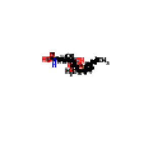 CCCCc1ccc2cc(C=C(C)C(=O)c3c(O)cc(C(C)CCC=CNC(=O)O)oc3=O)sc2c1